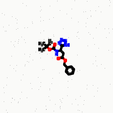 CC(C)(C)OC(=O)NC(CC(=O)OCc1ccccc1)c1nnn[nH]1